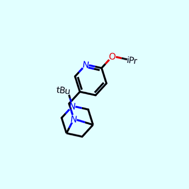 CC(C)Oc1ccc(CN2C3CC2CN(C(C)(C)C)C3)cn1